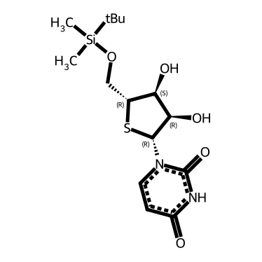 CC(C)(C)[Si](C)(C)OC[C@H]1S[C@@H](n2ccc(=O)[nH]c2=O)[C@H](O)[C@@H]1O